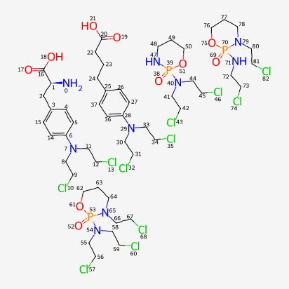 N[C@@H](Cc1ccc(N(CCCl)CCCl)cc1)C(=O)O.O=C(O)CCCc1ccc(N(CCCl)CCCl)cc1.O=P1(N(CCCl)CCCl)NCCCO1.O=P1(N(CCCl)CCCl)OCCCN1CCCl.O=P1(NCCCl)OCCCN1CCCl